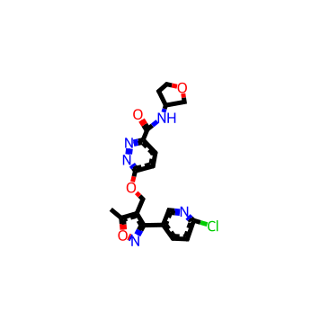 Cc1onc(-c2ccc(Cl)nc2)c1COc1ccc(C(=O)NC2CCOC2)nn1